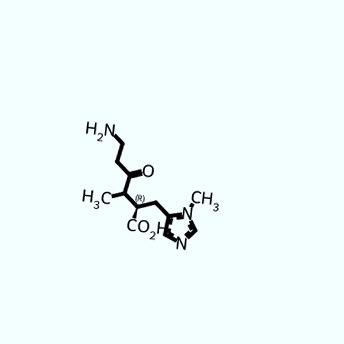 CC(C(=O)CCN)[C@@H](Cc1cncn1C)C(=O)O